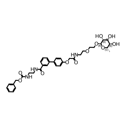 C[C@@H]1O[C@@H](OCCOCCNC(=O)COc2ccc(-c3cccc(C(=O)NCCNC(=O)OCc4ccccc4)c3)cc2)[C@H](O)[C@H](O)[C@H]1O